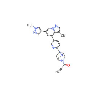 C#CC(=O)N1CC2CCC1CN2c1ccc(-c2cc(-c3cnn(C)c3)cn3ncc(C#N)c23)cn1